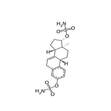 C[C@]12CC[C@H]3C(=CCc4cc(OS(N)(=O)=O)ccc43)[C@@H]1CC[C@@H]2OS(N)(=O)=O